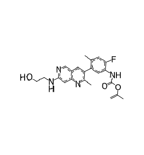 C=C(C)OC(=O)Nc1cc(-c2cc3cnc(NCCO)cc3nc2C)c(C)cc1F